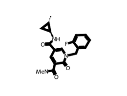 CNC(=O)c1cc(C(=O)N[C@H]2C[C@@H]2C)cn(Cc2ccccc2F)c1=O